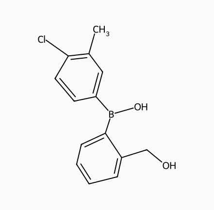 Cc1cc(B(O)c2ccccc2CO)ccc1Cl